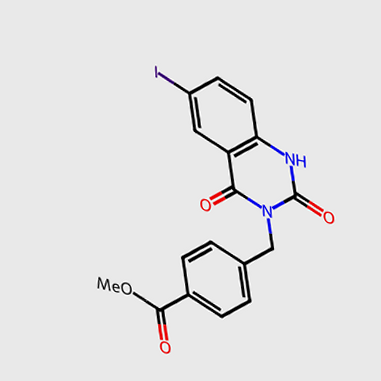 COC(=O)c1ccc(Cn2c(=O)[nH]c3ccc(I)cc3c2=O)cc1